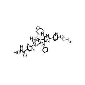 COc1ccc(-c2nc(N3CCOCC3)c3c(n2)N(C2CCCC2)C(CN(C)c2ncc(C(=O)NO)cn2)N3C)cn1